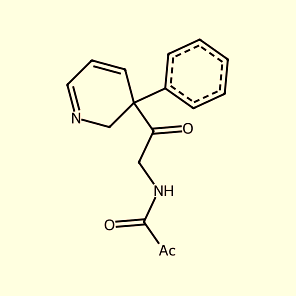 CC(=O)C(=O)NCC(=O)C1(c2ccccc2)C=CC=NC1